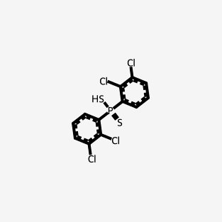 S=P(S)(c1cccc(Cl)c1Cl)c1cccc(Cl)c1Cl